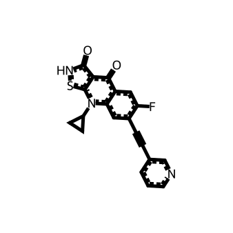 O=c1[nH]sc2c1c(=O)c1cc(F)c(C#Cc3cccnc3)cc1n2C1CC1